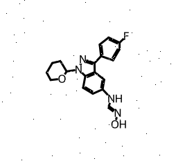 ON=CNc1ccc2c(c1)c(-c1ccc(F)cc1)nn2C1CCCCO1